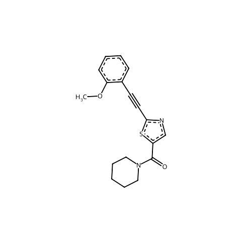 COc1ccccc1C#Cc1ncc(C(=O)N2CCCCC2)s1